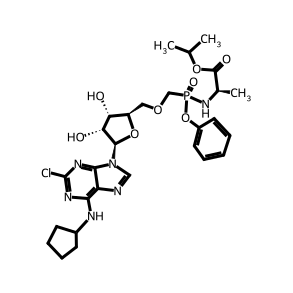 CC(C)OC(=O)[C@@H](C)NP(=O)(COC[C@H]1O[C@@H](n2cnc3c(NC4CCCC4)nc(Cl)nc32)[C@H](O)[C@@H]1O)Oc1ccccc1